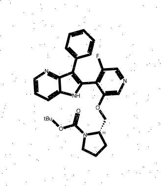 CC(C)(C)OC(=O)N1CCC[C@H]1COc1cncc(F)c1-c1[nH]c2cccnc2c1-c1ccccc1